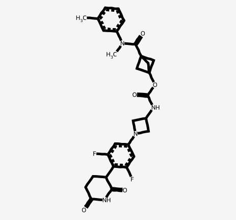 Cc1cccc(N(C)C(=O)C23CC(OC(=O)NC4CN(c5cc(F)c(C6CCC(=O)NC6=O)c(F)c5)C4)(C2)C3)c1